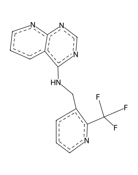 FC(F)(F)c1ncccc1CNc1ncnc2ncccc12